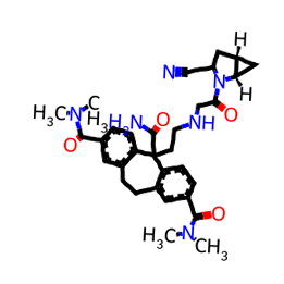 CN(C)C(=O)c1ccc2c(c1)CCc1cc(C(=O)N(C)C)ccc1C2(CCNCC(=O)N1C(C#N)C[C@@H]2C[C@@H]21)C(N)=O